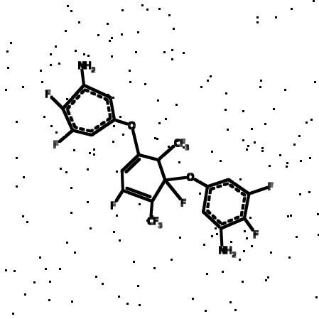 Nc1cc(OC2=CC(F)=C(C(F)(F)F)C(F)(Oc3cc(N)c(F)c(F)c3)C2C(F)(F)F)cc(F)c1F